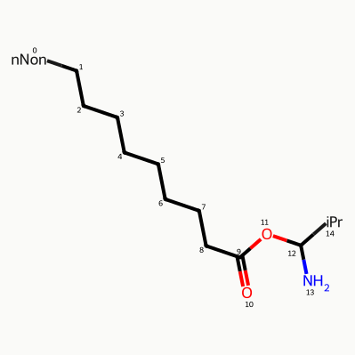 CCCCCCCCCCCCCCCCCC(=O)OC(N)C(C)C